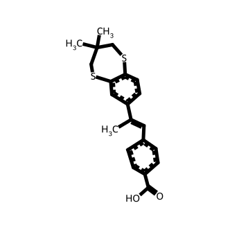 CC(=Cc1ccc(C(=O)O)cc1)c1ccc2c(c1)SCC(C)(C)CS2